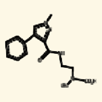 Cn1cc(-c2ccccc2)c(C(=O)NCCN(C(=O)O)C(C)(C)C)n1